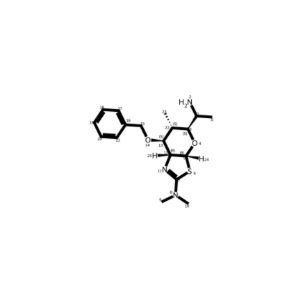 CC(N)[C@H]1O[C@@H]2SC(N(C)C)=N[C@@H]2[C@@H](OCc2ccccc2)[C@@H]1C